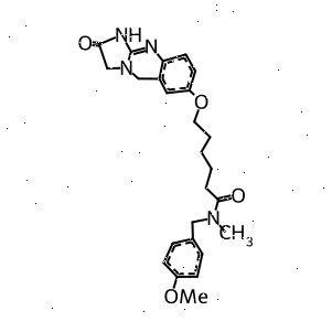 COc1ccc(CN(C)C(=O)CCCCCOc2ccc3c(c2)CN2CC(=O)NC2=N3)cc1